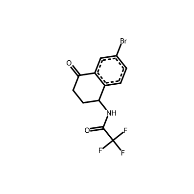 O=C1CCC(NC(=O)C(F)(F)F)c2ccc(Br)cc21